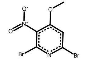 COc1cc(Br)nc(Br)c1[N+](=O)[O-]